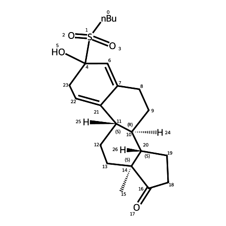 CCCCS(=O)(=O)C1(O)C=C2CC[C@@H]3[C@H](CC[C@]4(C)C(=O)CC[C@@H]34)C2=CC1